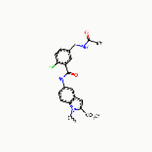 CCOC(=O)c1cc2cc(NC(=O)c3cc(CNC(=O)C(C)C)ccc3Cl)ccc2n1C